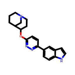 c1cc2cc(-c3ccc(OC4CCN5CCCC4C5)nn3)ccc2[nH]1